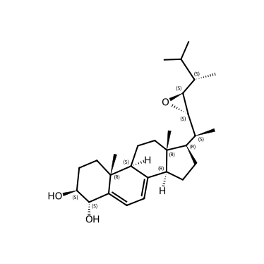 CC(C)[C@H](C)[C@@H]1O[C@H]1[C@@H](C)[C@H]1CC[C@H]2C3=CC=C4[C@H](O)[C@@H](O)CC[C@]4(C)[C@H]3CC[C@]12C